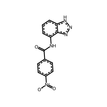 O=C(Nc1cccc2[nH]nnc12)c1ccc([N+](=O)[O-])cc1